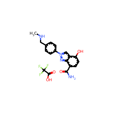 CNCc1ccc(-n2cc3c(O)ccc(C(N)=O)c3n2)cc1.O=C(O)C(F)(F)F